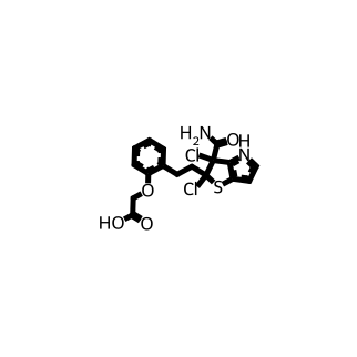 NC(=O)C1(Cl)c2[nH]ccc2SC1(Cl)CCc1ccccc1OCC(=O)O